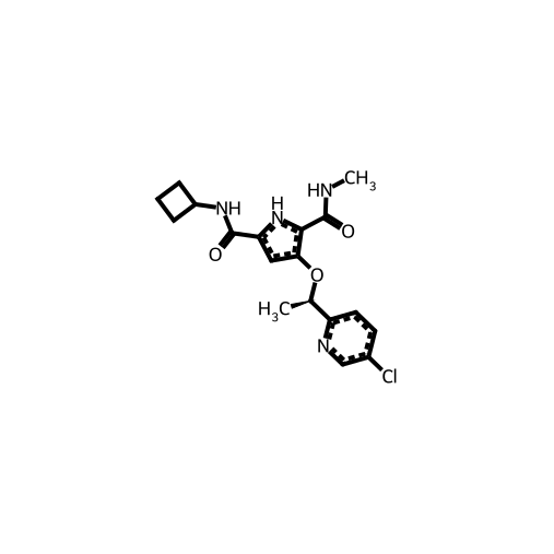 CNC(=O)c1[nH]c(C(=O)NC2CCC2)cc1O[C@H](C)c1ccc(Cl)cn1